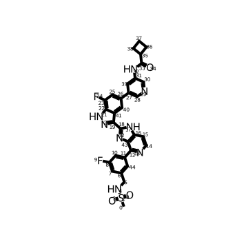 CS(=O)(=O)NCc1cc(F)cc(-c2nccc3[nH]c(-c4n[nH]c5c(F)cc(-c6cncc(NC(=O)C7CCC7)c6)cc45)nc23)c1